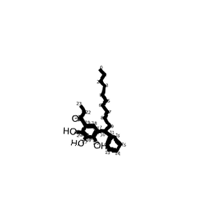 CCCCCCCCCCC(c1ccccc1)c1cc(C(=O)CC)c(O)c(O)c1O